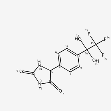 O=C1NC(=O)C(c2ccc(C(O)(O)C(F)(F)F)cc2)N1